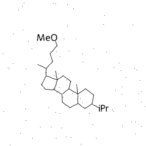 COCCCC(C)C1CCC2C3CCC4CC(C(C)C)CCC4(C)C3CCC12C